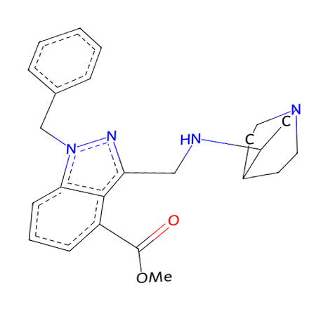 COC(=O)c1cccc2c1c(CNC1CN3CCC1CC3)nn2Cc1ccccc1